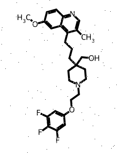 COc1ccc2ncc(C)c(CCCC3(CO)CCN(CCOc4cc(F)c(F)c(F)c4)CC3)c2c1